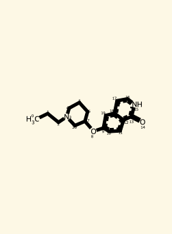 CCCN1CCCC(Oc2ccc3c(=O)[nH]ccc3c2)C1